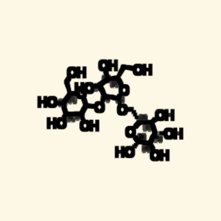 OC[C@H]1O[C@H](OC[C@H]2O[C@@H](O)[C@H](O)[C@@H](O)[C@@H]2O)[C@H](OC2O[C@H](CO)[C@H](O)[C@H](O)[C@H]2O)[C@@H](O)[C@H]1O